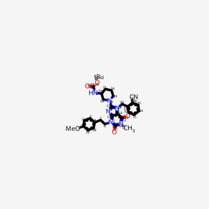 COc1ccc(CCn2c(=O)n(C)c(=O)c3c2nc(N2CCCC(NC(=O)OC(C)(C)C)C2)n3Cc2ccccc2C#N)cc1